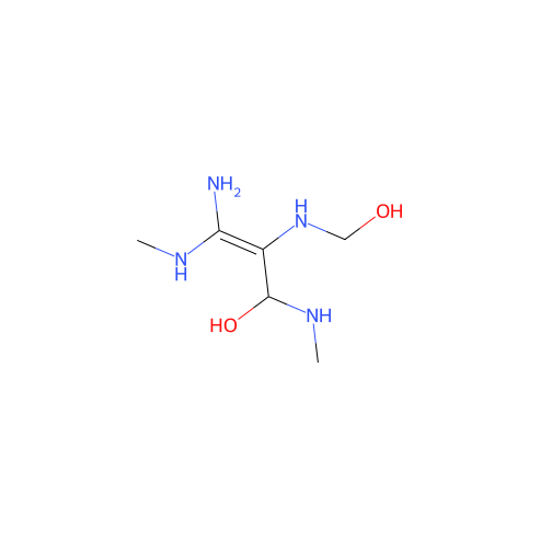 CN/C(N)=C(/NCO)C(O)NC